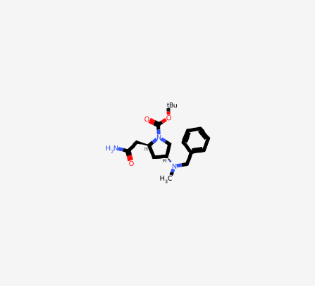 CN(Cc1ccccc1)[C@@H]1C[C@@H](CC(N)=O)N(C(=O)OC(C)(C)C)C1